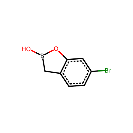 OB1Cc2ccc(Br)cc2O1